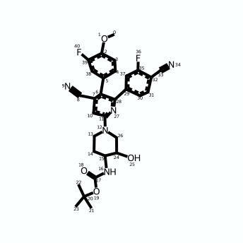 COc1ccc(-c2c(C#N)cc(N3CCC(NC(=O)OC(C)(C)C)C(O)C3)nc2-c2ccc(C#N)c(F)c2)cc1F